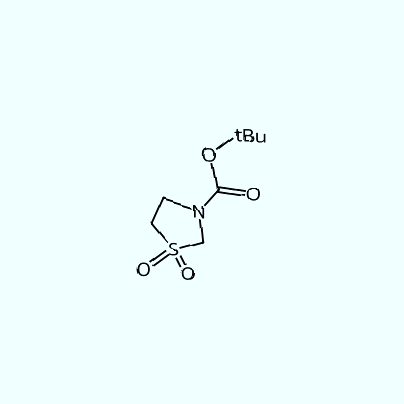 CC(C)(C)OC(=O)N1CCS(=O)(=O)C1